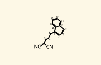 N#CC(C#N)CCCc1cccc2ccccc12